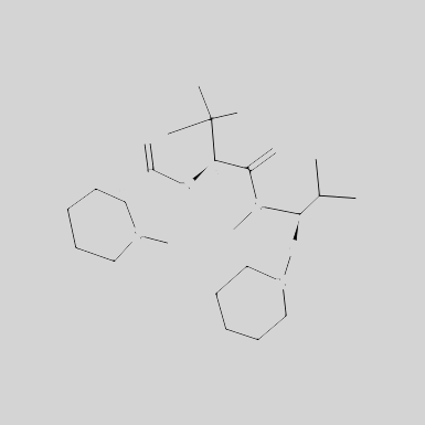 CC(C)[C@@H](CN1CCCCC1)N(C)C(=O)[C@@H](NC(=O)[C@H]1CCCCN1C)C(C)(C)C